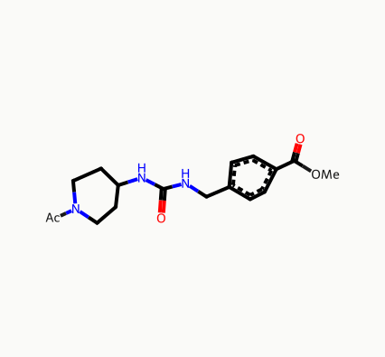 COC(=O)c1ccc(CNC(=O)NC2CCN(C(C)=O)CC2)cc1